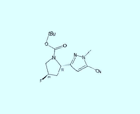 Cn1nc([C@@H]2C[C@@H](F)CN2C(=O)OC(C)(C)C)cc1C#N